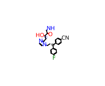 N#Cc1ccc([C@@H](CCn2ccnc2/C=C(\O)C(=O)C=N)c2ccc(F)cc2)cc1